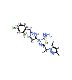 Cc1cc(C)n(C(C)C2=NN(c3ccn(Cc4ccc(F)cc4Cl)n3)C(N)S2)n1